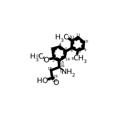 COc1ccc(-c2c(C)cccc2C)cc1[C@@H](N)CC(=O)O